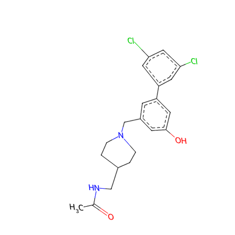 CC(=O)NCC1CCN(Cc2cc(O)cc(-c3cc(Cl)cc(Cl)c3)c2)CC1